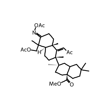 COC(=O)[C@]12CCC(C)(C)CC1C[C@](C)([C@]1(C)CC[C@H]3C(C)(COC(C)=O)C(=NOC(C)=O)CC[C@]3(C)/C1=C/C(C)=O)CC2